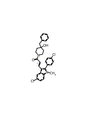 Cn1c(-c2ccc(Cl)cc2)c(/C=C/C(=O)N2CCC(O)(Cc3ccccc3)CC2)c2cc(Cl)ccc21